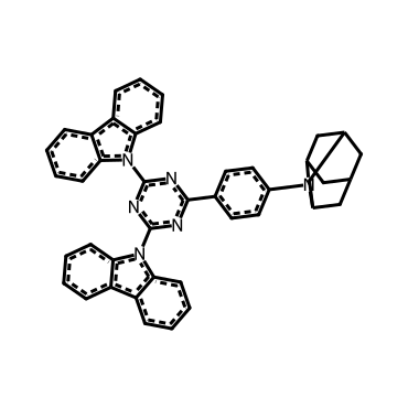 c1ccc2c(c1)c1ccccc1n2-c1nc(-c2ccc(N3C4CC5CC(C4)CC3C5)cc2)nc(-n2c3ccccc3c3ccccc32)n1